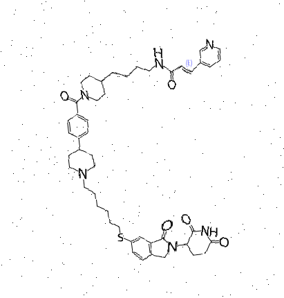 O=C(/C=C/c1cccnc1)NCCCCC1CCN(C(=O)c2ccc(C3CCN(CCCCCCSc4ccc5c(c4)C(=O)N(C4CCC(=O)NC4=O)C5)CC3)cc2)CC1